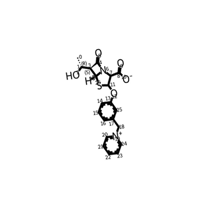 C[C@@H](O)[C@H]1C(=O)N2C(C(=O)[O-])C(Oc3cccc(C[n+]4ccccc4)c3)S[C@H]12